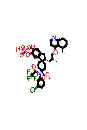 COC(=O)C1(N(C(=O)C(F)(F)F)c2cccc(Cl)c2)CCC2(CC1)c1cc(OP(=O)(O)O)ccc1C[C@@H]2C[C@@H](C)COc1ccnc2c1[C@H](C)CCC2